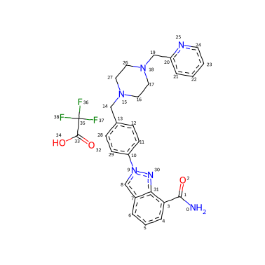 NC(=O)c1cccc2cn(-c3ccc(CN4CCN(Cc5ccccn5)CC4)cc3)nc12.O=C(O)C(F)(F)F